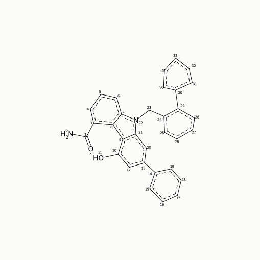 NC(=O)c1cccc2c1c1c(O)cc(-c3ccccc3)cc1n2Cc1ccccc1-c1ccccc1